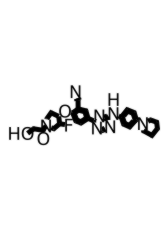 N#Cc1cc(-c2ncnc(Nc3ccc(N4CCCCC4)cc3)n2)ccc1OC1CCN(C(=O)CO)CC1F